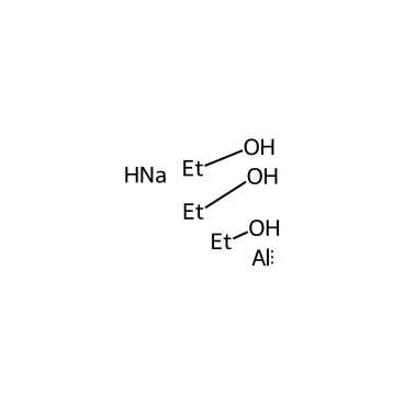 CCO.CCO.CCO.[Al].[NaH]